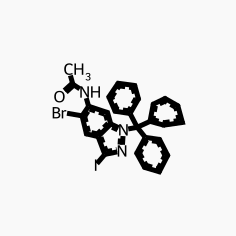 CC(=O)Nc1cc2c(cc1Br)c(I)nn2C(c1ccccc1)(c1ccccc1)c1ccccc1